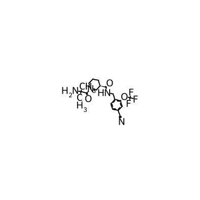 CC(C)(N)C(=O)N1CCC[C@@H](C(=O)NCc2ccc(C#N)cc2OC(F)(F)F)C1